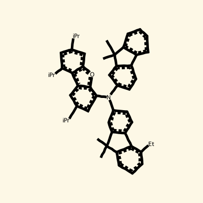 CCc1cccc2c1-c1ccc(N(c3ccc4c(c3)C(C)(C)c3ccccc3-4)c3cc(C(C)C)cc4c3oc3cc(C(C)C)cc(C(C)C)c34)cc1C2(C)C